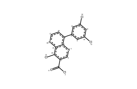 O=C(Cl)c1cnc2c(-c3cc(Cl)cc(Cl)c3)ccnc2c1Cl